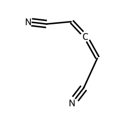 N#CC=C=CC#N